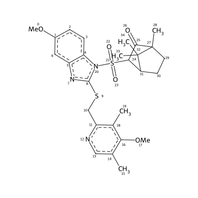 COc1ccc2c(c1)nc(SCc1ncc(C)c(OC)c1C)n2S(=O)(=O)C1C(=O)C2(C)CCC1C2(C)C